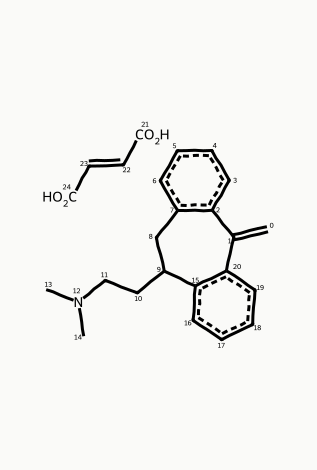 C=C1c2ccccc2CC(CCN(C)C)c2ccccc21.O=C(O)C=CC(=O)O